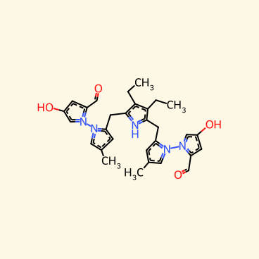 CCc1c(Cc2cc(C)cn2-n2cc(O)cc2C=O)[nH]c(Cc2cc(C)cn2-n2cc(O)cc2C=O)c1CC